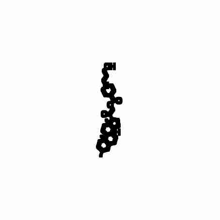 C[C@H]1CC[C@@]2(C)C(CC[C@@H]3C2CC[C@@]2(C)C3CC[C@@H]2C(=O)COC(=O)C2CCN(CCCO)CC2)C1